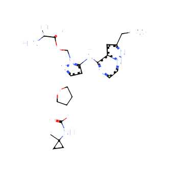 COCc1cc2c(Nc3cc([C@@H]4C[C@H](OC(=O)NC5(C)CC5)CO4)nn3COC(=O)[C@@H](N)C(C)C)nccn2n1